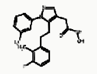 Cc1cccc(-n2ncc(CC(=O)NO)c2CCc2cccc(F)c2C)c1